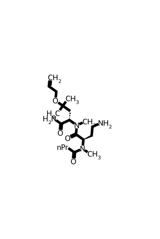 C=CCOC(C)(C)C[C@@H](C(N)=O)N(C)C(=O)[C@@H](CCN)N(C)C(=O)CCC